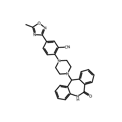 Cc1nc(-c2ccc(N3CCN(C4c5ccccc5NC(=O)c5ccccc54)CC3)c(C#N)c2)no1